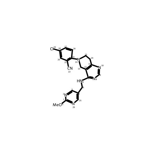 COc1ncc(CNc2ncnc3c2CN(c2ccc(Cl)cc2C#N)CC3)cn1